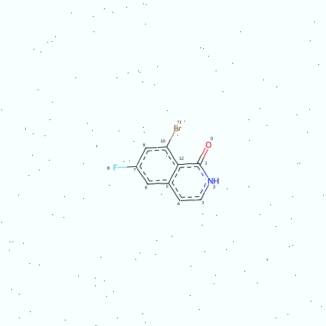 O=c1[nH]ccc2cc(F)cc(Br)c12